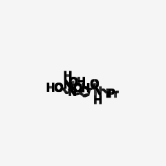 CC(C)CNC(=O)c1ccc(CN2CC(O)NS2(O)O)cc1